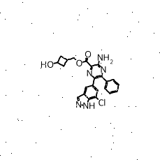 Nc1nc(-c2ccccc2)c(-c2cc(Cl)c3[nH]ncc3c2)nc1C(=O)OCC1CC(O)C1